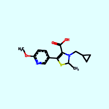 COc1ccc(C2=C(C(=O)O)N(CC3CC3)C(C)S2)cn1